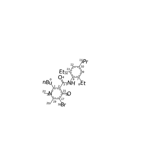 CCCCc1c(C(=O)Nc2c(CC)cc(C(C)C)cc2CC)c(=O)c(Br)c(C)n1C